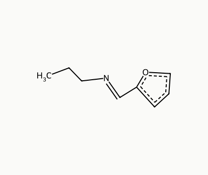 CCCN=Cc1ccco1